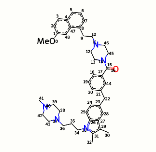 COc1ccc2cccc(CCN3CCN(C(=O)c4cccc(Cc5ccc6c(c5)c(C)c(C)n6CCCN5CCN(C)CC5)c4)CC3)c2c1